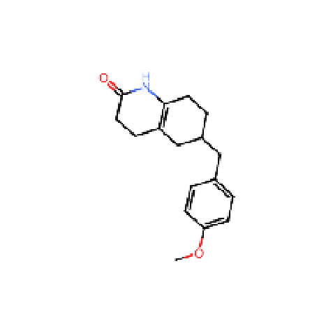 COc1ccc(CC2CCC3=C(CCC(=O)N3)C2)cc1